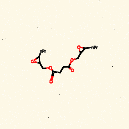 CCCC1OC1COC(=O)CCC(=O)OCC1OC1CCC